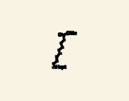 CCCCCCCCC=CCCCCCC(=O)OC